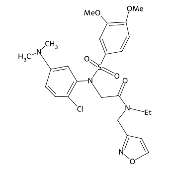 CCN(Cc1ccon1)C(=O)CN(c1cc(N(C)C)ccc1Cl)S(=O)(=O)c1ccc(OC)c(OC)c1